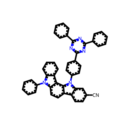 N#Cc1ccc2c3ccc4c(c5ccccc5n4-c4ccccc4)c3n(-c3ccc(-c4nc(-c5ccccc5)nc(-c5ccccc5)n4)cc3)c2c1